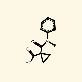 O=C(O)C1(C(=O)N(F)c2ccccc2)CC1